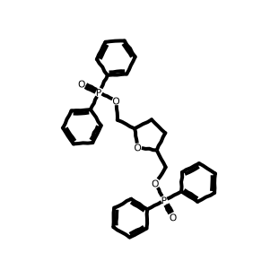 O=P(OCC1CCC(COP(=O)(c2ccccc2)c2ccccc2)O1)(c1ccccc1)c1ccccc1